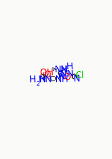 CC(O)[C@H](N)C(=O)N[C@H]1CC[C@H](Nc2cc(NC3CC3)c3ncc(C(=O)Nc4ccnc(Cl)c4)n3n2)CC1